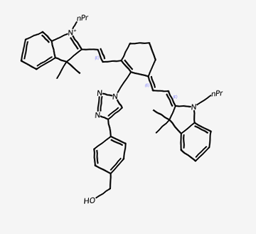 CCCN1/C(=C/C=C2\CCCC(/C=C/C3=[N+](CCC)c4ccccc4C3(C)C)=C2n2cc(-c3ccc(CO)cc3)nn2)C(C)(C)c2ccccc21